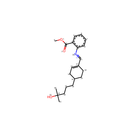 COC(=O)c1ccccc1/N=C/C1=CCC(CCCC(C)(C)O)CC1